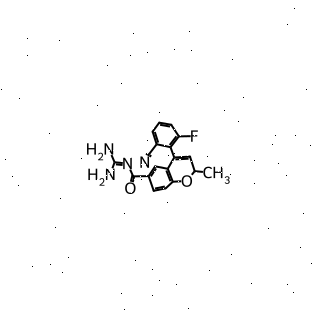 CC1C=C(c2c(F)cccc2C#N)c2cc(C(=O)N=C(N)N)ccc2O1